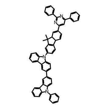 CC1(C)c2cc(-n3c4ccccc4c4cc(-c5ccc6c(c5)c5ccccc5n6-c5ccccc5)ccc43)ccc2C2C=CC(c3cc(-c4ccccc4)nc(-c4ccccc4)n3)=CC21